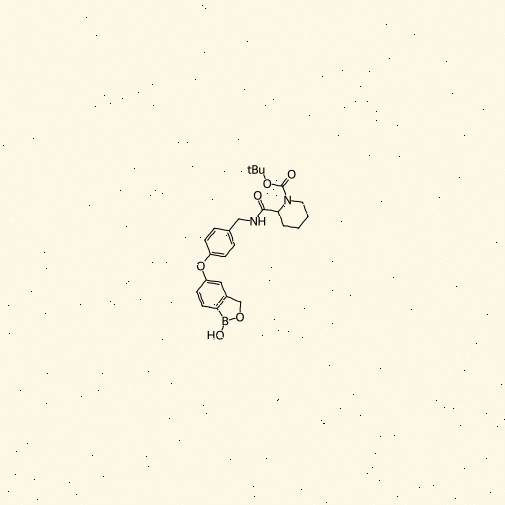 CC(C)(C)OC(=O)N1CCCCC1C(=O)NCc1ccc(Oc2ccc3c(c2)COB3O)cc1